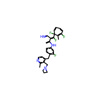 C=C(Nc1ccc(Cc2ccnc(C)c2CN2CCC2)c(F)c1)/C(C=N)=C(\F)C1(F)C=CC=CC(F)=C1C